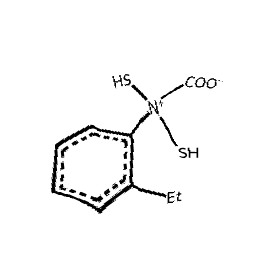 CCc1ccccc1[N+](S)(S)C(=O)[O-]